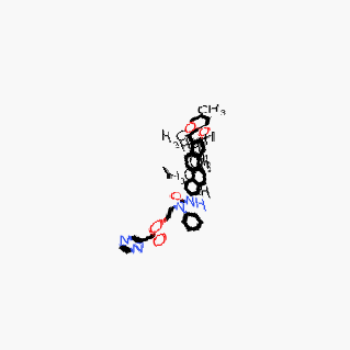 C[C@H]1CC[C@@]2(OC1)O[C@H]1C[C@H]3[C@@H]4CC[C@@H]5C[C@H](NC(=O)N(CCOC(=O)c6cnccn6)C6CCCCC6)CC[C@]5(C)C4CC[C@]3(C)[C@H]1[C@@H]2C